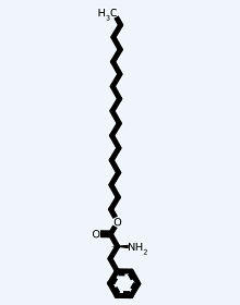 CCCCCCCCCCCCCCCCCOC(=O)[C@@H](N)Cc1ccccc1